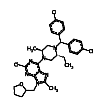 CC[C@@H]1CN(c2nc(Cl)nc3c2nc(C)n3CC2CCCO2)[C@@H](C)CN1C(c1ccc(Cl)cc1)c1ccc(Cl)cc1